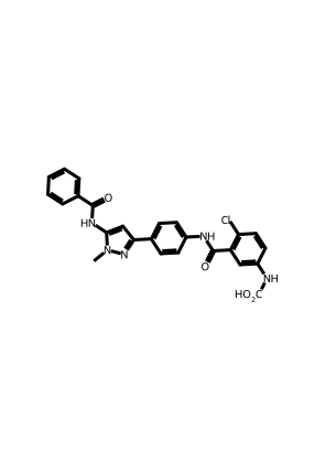 Cn1nc(-c2ccc(NC(=O)c3cc(NC(=O)O)ccc3Cl)cc2)cc1NC(=O)c1ccccc1